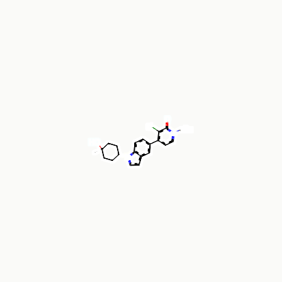 CCCCn1ccc(-c2ccc3c(ccn3[C@H]3CC[C@@](C)(O)CC3)c2)c(Cl)c1=O